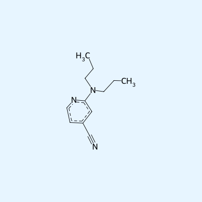 CCCN(CCC)c1cc(C#N)ccn1